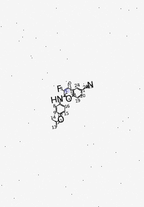 C/C(=C(\F)C(=O)Nc1ccc(OC(C)C)cc1)c1cccc(C#N)c1